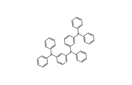 c1ccc(P(c2ccccc2)c2cccc(P(c3ccccc3)c3cccc(P(c4ccccc4)c4ccccc4)c3)c2)cc1